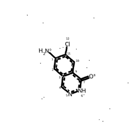 Nc1cc2cn[nH]c(=O)c2cc1Cl